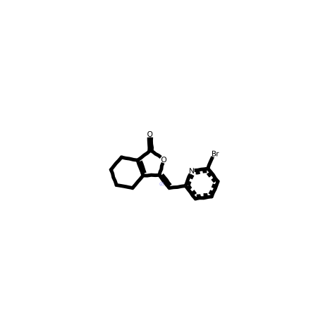 O=C1O/C(=C\c2cccc(Br)n2)C2=C1CCCC2